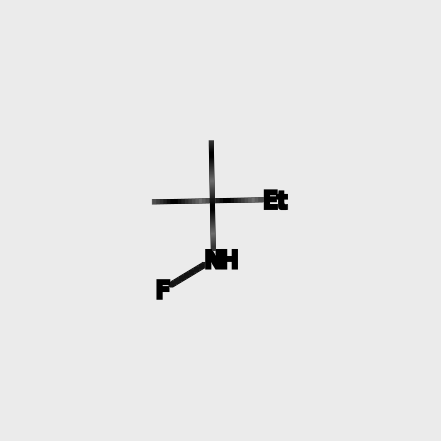 CCC(C)(C)NF